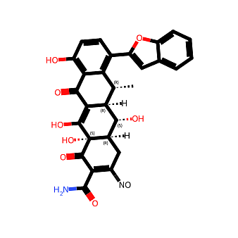 C[C@H]1c2c(-c3cc4ccccc4o3)ccc(O)c2C(=O)C2=C(O)[C@]3(O)C(=O)C(C(N)=O)=C(N=O)C[C@@H]3[C@@H](O)[C@@H]21